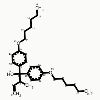 C=CC(C)C(O)(c1ccc(OCCCCCC)cc1)c1ccc(OCCCCCC)cc1